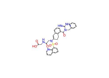 N=C(N)N(Cc1ccccc1)C(=O)c1cccc2c1CCC(N(CC(=O)NCC(=O)O)S(=O)(=O)c1cccc3cccnc13)=C2